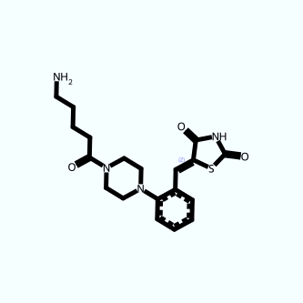 NCCCCC(=O)N1CCN(c2ccccc2/C=C2\SC(=O)NC2=O)CC1